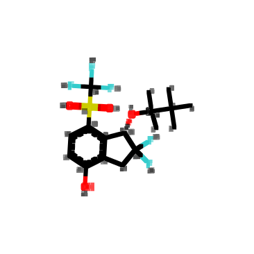 CC(C)(C)[Si](C)(C)O[C@H]1c2c(S(=O)(=O)C(F)(F)F)ccc(O)c2CC1(F)F